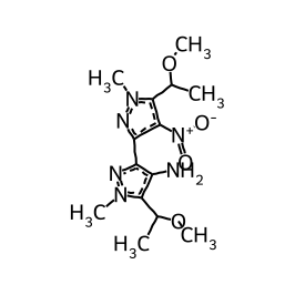 COC(C)c1c(N)c(-c2nn(C)c(C(C)OC)c2[N+](=O)[O-])nn1C